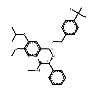 CNC(=O)[C@@H](N[C@@H](CCc1ccc(C(F)(F)F)cc1)c1ccc(OC)c(OC(C)C)c1)c1ccccc1